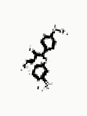 COc1ccc(C(Sc2cccc(OC)c2)C(=O)C=NN)cc1